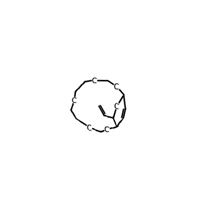 C=CC1CC2C=CC1CCCCCCCCCCC2